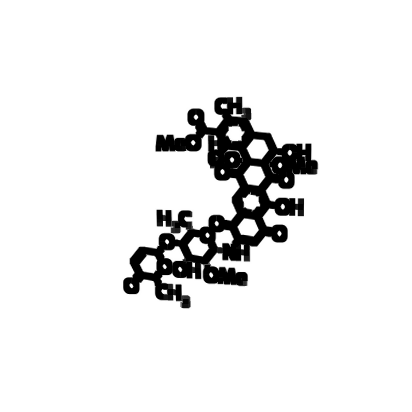 COC(=O)c1c(C)cc2c(c1O)[C@]1(O)C(=O)c3cc4c(c(O)c3C(=O)[C@]1(OC)[C@H](O)C2)C(=O)C=C(N[C@H]1O[C@@H](C)[C@H](O[C@@H]2C=CC(=O)[C@H](C)O2)[C@@H](O)[C@H]1OC)C4=O